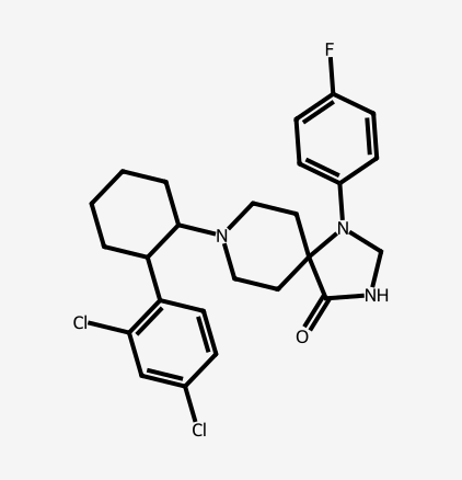 O=C1NCN(c2ccc(F)cc2)C12CCN(C1CCCCC1c1ccc(Cl)cc1Cl)CC2